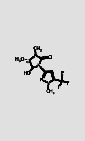 C[C@H]1C(O)N(c2cc(C(F)(F)F)n(C)n2)C(=O)N1C